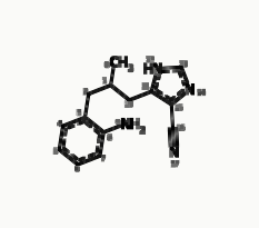 CC(Cc1ccccc1N)Cc1[nH]cnc1C#N